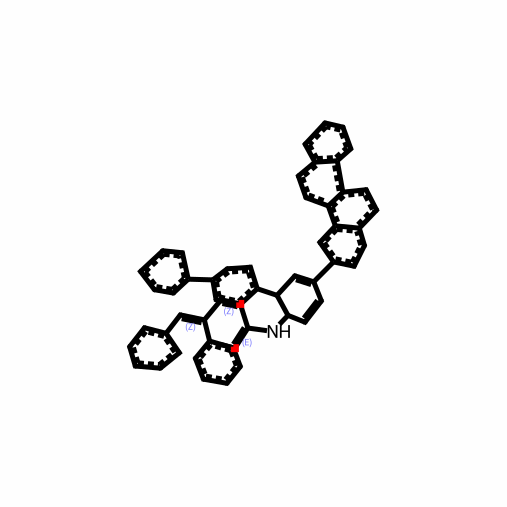 C\C=C(/C=C\C(=C\c1ccccc1)c1ccccc1)NC1C=CC(c2ccc3ccc4c5ccccc5ccc4c3c2)=CC1c1ccc(-c2ccccc2)cc1